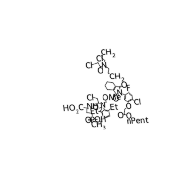 C=CCN(CC=C)C(=O)C(Cl)Cl.CCCCCOC(=O)COc1cc(N2C(=O)C3=C(CCCC3)C2=O)c(F)cc1Cl.CCc1cccc(CC)c1N(COC)C(=O)CCl.CP(=O)(O)CCC(N)C(=O)O